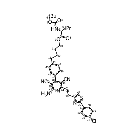 CC(C)[C@H](NC(=O)OC(C)(C)C)C(=O)OCCCCc1ccc(-c2c(C#N)c(N)nc(SCc3csc(-c4ccc(Cl)cc4)n3)c2C#N)cc1